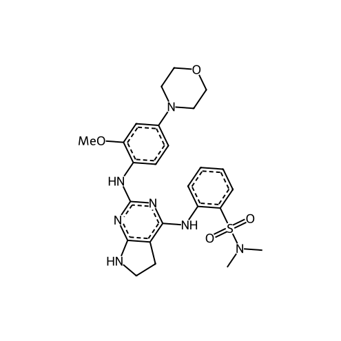 COc1cc(N2CCOCC2)ccc1Nc1nc2c(c(Nc3ccccc3S(=O)(=O)N(C)C)n1)CCN2